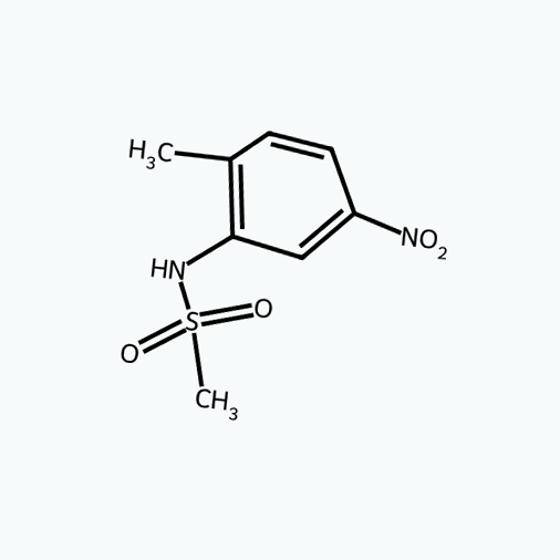 Cc1ccc([N+](=O)[O-])cc1NS(C)(=O)=O